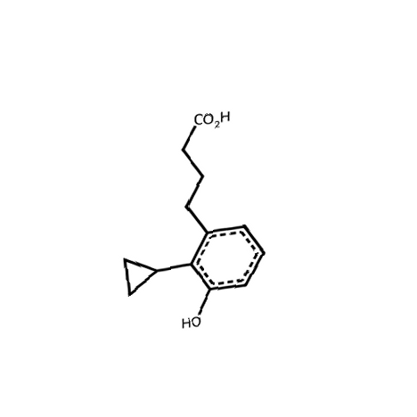 O=C(O)CCCc1cccc(O)c1C1CC1